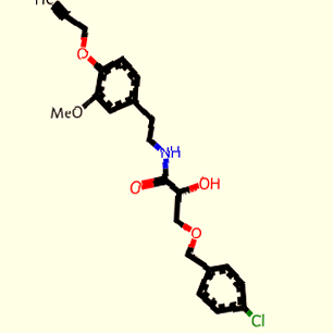 C#CCOc1ccc(CCNC(=O)C(O)COCc2ccc(Cl)cc2)cc1OC